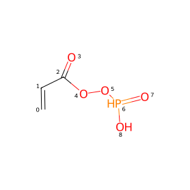 C=CC(=O)OO[PH](=O)O